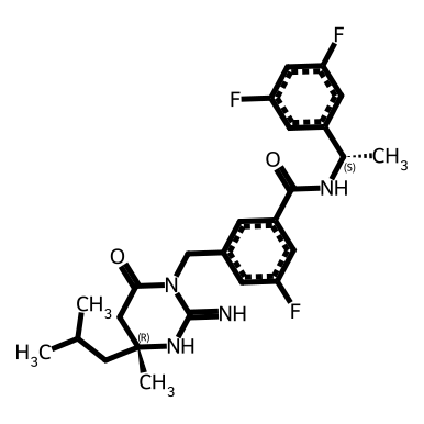 CC(C)C[C@]1(C)CC(=O)N(Cc2cc(F)cc(C(=O)N[C@@H](C)c3cc(F)cc(F)c3)c2)C(=N)N1